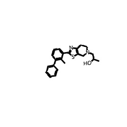 Cc1c(-c2ccccc2)cccc1-c1nc2c(s1)CN(CC(C)O)CC2